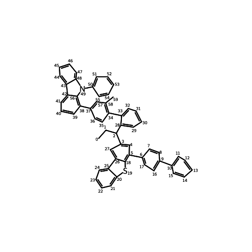 CCC(c1cc(-c2ccc(-c3ccccc3)cc2)c2sc3ccccc3c2c1)c1ccccc1-c1ccc(-c2cccc3c4ccccc4n(-c4ccccc4)c23)cc1C